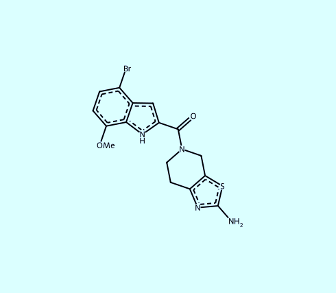 COc1ccc(Br)c2cc(C(=O)N3CCc4nc(N)sc4C3)[nH]c12